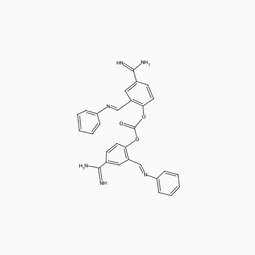 N=C(N)c1ccc(OC(=O)Oc2ccc(C(=N)N)cc2C=Nc2ccccc2)c(C=Nc2ccccc2)c1